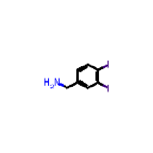 NCc1ccc(I)c(I)c1